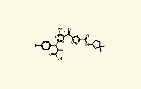 CC(C(N)=O)N(c1ccc(F)cc1)c1nc(N)c(C(=O)c2cc(C(=O)NC3CCC(F)(F)C3)no2)s1